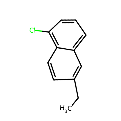 CCc1ccc2c(Cl)cccc2c1